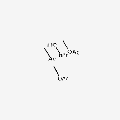 CC(C)=O.CCCO.COC(C)=O.COC(C)=O